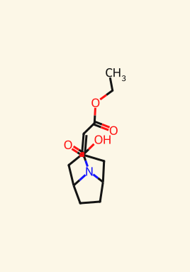 CCOC(=O)C=C1CC2CCC(C1)N2C(=O)O